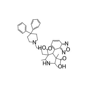 CC1NC(C)C(CCCN2CCC(c3ccccc3)(c3ccccc3)CC2)(C(=O)O)C(c2cccc3nonc23)C1(C)C(=O)O